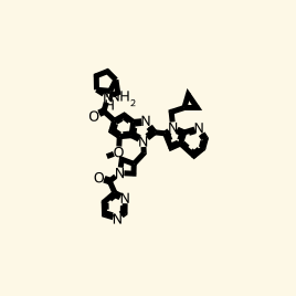 COc1cc(C(=O)N2CC3CCC2[C@@H]3N)cc2nc(-c3cc4cccnc4n3CC3CC3)n(CC3CN(C(=O)c4ccncn4)C3)c12